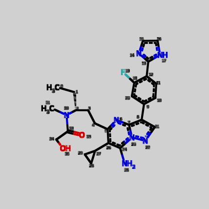 CC[C@H](CCc1nc2c(-c3ccc(-c4ncc[nH]4)c(F)c3)cnn2c(N)c1C1CC1)N(C)C(=O)CO